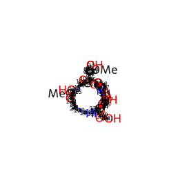 CO[C@@H]1C[C@H](C[C@@H](C)[C@@H]2CC(=O)[C@H](C)/C=C(\C)[C@@H](O)[C@@H](OC)C(=O)[C@H](C)C[C@H](C)/C=C/C=C/C=C(\C)[C@@H](NS(=O)(=O)CCO)C[C@@H]3CC[C@@H](C)[C@@](O)(O3)C(=O)C(=O)N3CCCC[C@H]3C(=O)O2)CC[C@H]1O